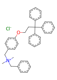 C[N+](C)(Cc1ccccc1)Cc1ccc(OCCC(c2ccccc2)(c2ccccc2)c2ccccc2)cc1.[Cl-]